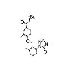 Cc1cc(C(=O)CC(C)(C)C)ccc1OCc1c(C)cccc1-n1nnn(C)c1=O